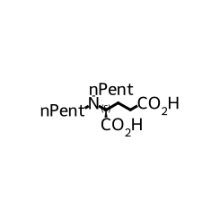 CCCCCN(CCCCC)[C@@H](CCC(=O)O)C(=O)O